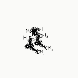 CCCCCOC(=O)c1ccccc1C(=O)OCCC(C)C.CCCCCOC(=O)c1ccccc1C(=O)OCCC(C)C.O=C(O)c1ccccc1C(=O)O